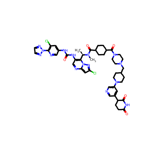 C[C@H](c1c(NC(=O)Nc2cnc(-n3nccn3)c(Cl)c2)cnc2cc(Cl)nn12)N(C)C(=O)C1CCC(C(=O)N2CCN(CC3CCN(c4cncc(C5CCC(=O)NC5=O)c4)CC3)CC2)CC1